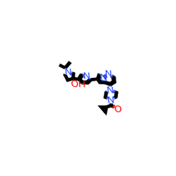 CC(C)N1CC[C@](O)(c2ccc(-c3cc4c(N5CCN(C(=O)C6CC6)CC5)ccnn4c3)nc2)C1